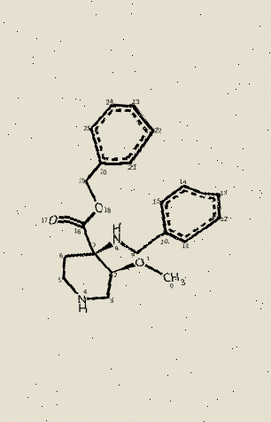 CO[C@H]1CNCC[C@]1(NCc1ccccc1)C(=O)OCc1ccccc1